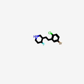 FC1CCNCC1CCc1cc(Br)ccc1Cl